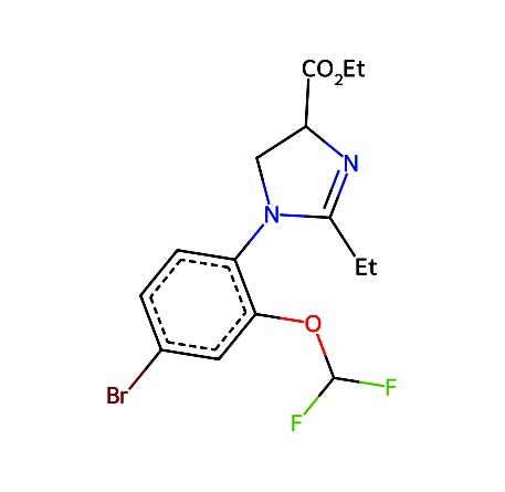 CCOC(=O)C1CN(c2ccc(Br)cc2OC(F)F)C(CC)=N1